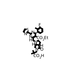 CCOC(=O)C1=C(CN2CC[C@H]3C(=O)N(CC(C)(C)C(=O)O)C[C@H]32)NC(c2nccs2)=N[C@H]1c1cccc(F)c1C